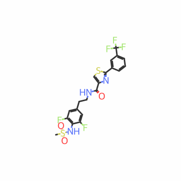 CS(=O)(=O)Nc1c(F)cc(CCNC(=O)c2csc(-c3cccc(C(F)(F)F)c3)n2)cc1F